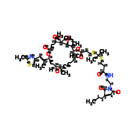 CCCC1=CC(=O)N(CCNC(=O)CCSC(C)(C)SCCC(=O)O[C@H]2[C@H](C)CCC[C@]3(C)O[C@H]3C[C@@H](/C(C)=C/c3csc(C)n3)OC(=O)C[C@@H](O)C(C)(C)C(=O)[C@H]2C)C1=O